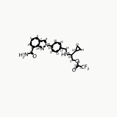 NC(=O)c1cccc2cn(-c3ccc(CNC(COC(=O)C(F)(F)F)C4CC4)cc3)nc12